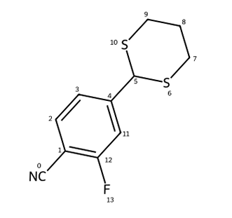 N#Cc1ccc(C2SCCCS2)cc1F